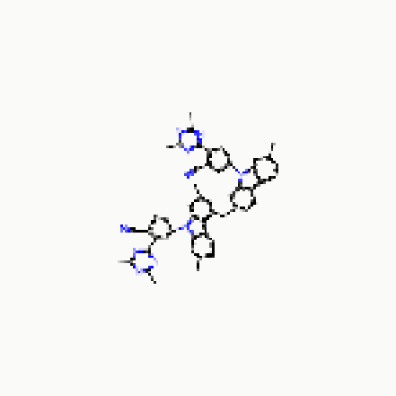 Cc1ccc2c3ccc(Cc4cc(C)cc5c4c4ccc(C)cc4n5-c4ccc(C#N)c(-c5nc(C)nc(C)n5)c4)cc3n(-c3ccc(-c4nc(C)nc(C)n4)c(C#N)c3)c2c1